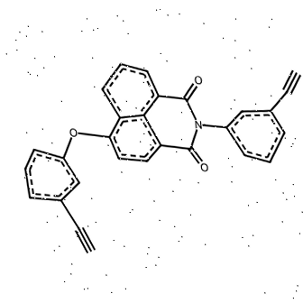 C#Cc1cccc(Oc2ccc3c4c(cccc24)C(=O)N(c2cccc(C#C)c2)C3=O)c1